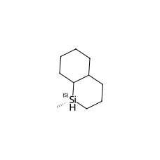 C[Si@H]1CCCC2CCCCC21